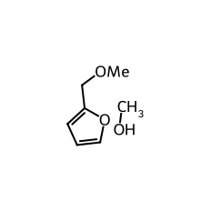 CO.COCc1ccco1